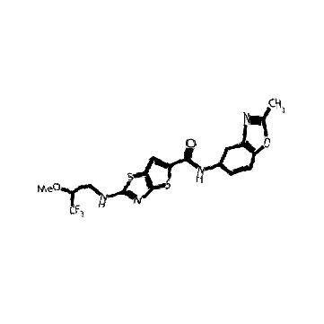 COC(CNc1nc2sc(C(=O)NC3C=Cc4oc(C)nc4C3)cc2s1)C(F)(F)F